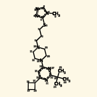 Cn1cnnc1SCCCN1CCN(c2cc(C3CCC3)nc(C(C)(C)C)n2)CC1